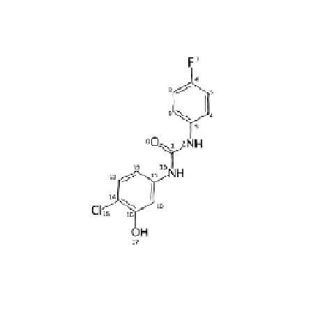 O=C(Nc1ccc(F)cc1)Nc1ccc(Cl)c(O)c1